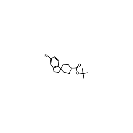 CC(C)(C)OC(=O)N1CCC2(CCc3cc(Br)ccc32)CC1